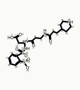 O=C(O)CC(NC(=O)CCNC(=O)CCC1CCNCC1)NS(=O)(=O)c1ccccc1[N+](=O)[O-]